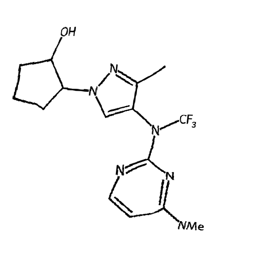 CNc1ccnc(N(c2cn(C3CCCC3O)nc2C)C(F)(F)F)n1